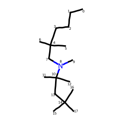 CCCCC(C)(C)CN(C)C(C)(C)CC(C)(C)C